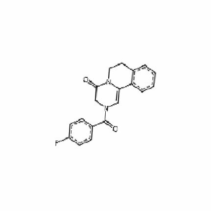 O=C(c1ccc(F)cc1)N1C=C2c3ccccc3CCN2C(=O)C1